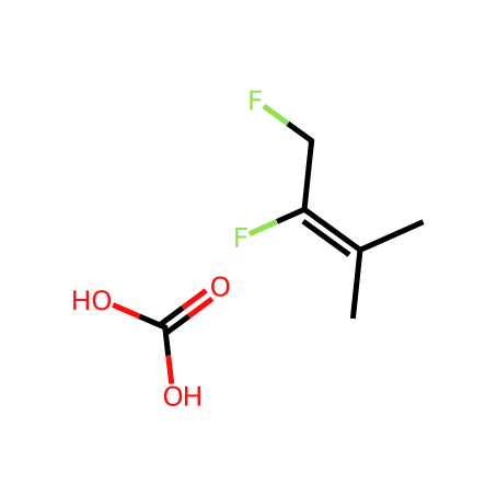 CC(C)=C(F)CF.O=C(O)O